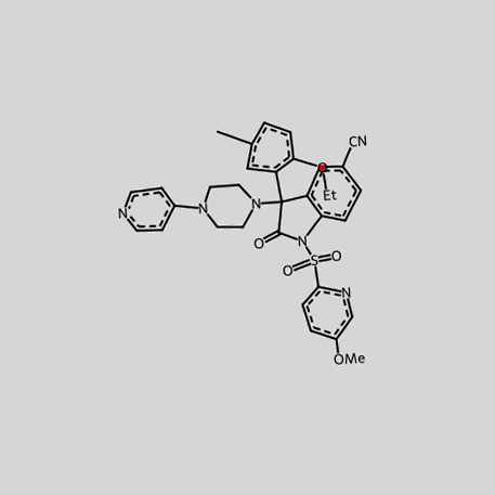 CCOc1ccc(C)cc1C1(N2CCN(c3ccncc3)CC2)C(=O)N(S(=O)(=O)c2ccc(OC)cn2)c2ccc(C#N)cc21